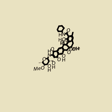 CO[C@@H]1[C@@H](O)[C@@H](CO)C(NC2=CC(=O)c3c(cc4c(c3O)C(=O)[C@]3(OC)[C@H](O)Cc5cc(C)c(C(=O)NC6CCCCC6)c(O)c5[C@]3(O)C4=O)C2=O)O[C@H]1C